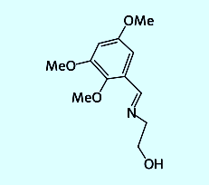 COc1cc(C=NCCO)c(OC)c(OC)c1